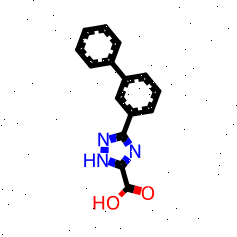 O=C(O)c1nc(-c2cccc(-c3ccccc3)c2)n[nH]1